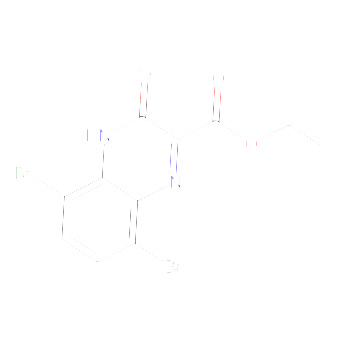 CCOC(=O)c1nc2c(Br)ccc(Br)c2[nH]c1=O